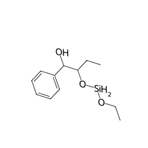 CCO[SiH2]OC(CC)C(O)c1ccccc1